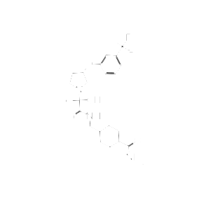 CC(C)(C(=O)NCC1CCC(C(N)=O)CC1)N1CC[C@@H](Oc2cccc(C(F)(F)F)c2)C1